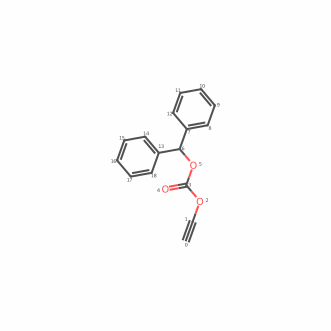 C#COC(=O)OC(c1ccccc1)c1ccccc1